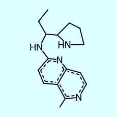 CCC(Nc1ccc2c(C)nccc2n1)C1CCCN1